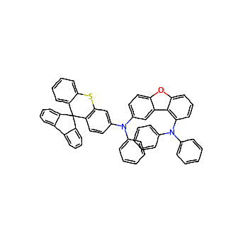 c1ccc(N(c2ccc3c(c2)Sc2ccccc2C32c3ccccc3-c3ccccc32)c2ccc3oc4cccc(N(c5ccccc5)c5ccccc5)c4c3c2)cc1